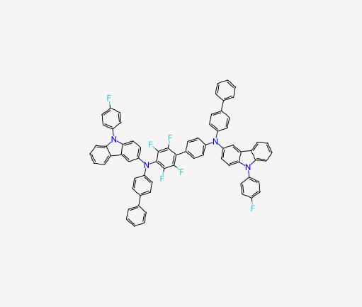 Fc1ccc(-n2c3ccccc3c3cc(N(c4ccc(-c5ccccc5)cc4)c4ccc(-c5c(F)c(F)c(N(c6ccc(-c7ccccc7)cc6)c6ccc7c(c6)c6ccccc6n7-c6ccc(F)cc6)c(F)c5F)cc4)ccc32)cc1